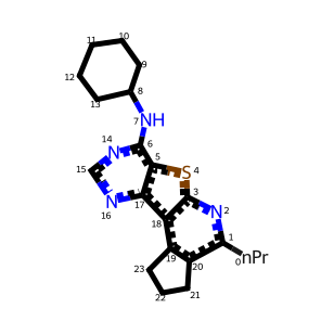 CCCc1nc2sc3c(NC4CCCCC4)ncnc3c2c2c1CCC2